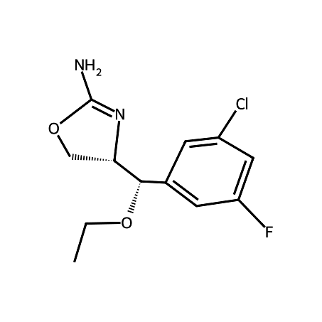 CCO[C@@H](c1cc(F)cc(Cl)c1)[C@@H]1COC(N)=N1